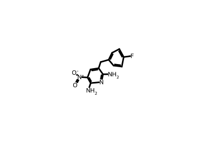 Nc1nc(N)c([N+](=O)[O-])cc1Cc1ccc(F)cc1